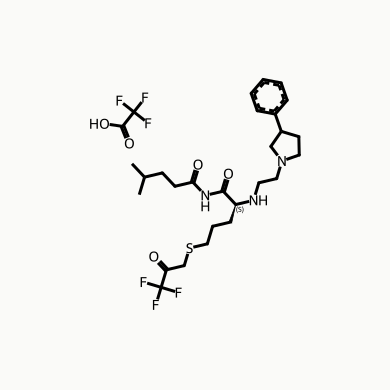 CC(C)CCC(=O)NC(=O)[C@H](CCCSCC(=O)C(F)(F)F)NCCN1CCC(c2ccccc2)C1.O=C(O)C(F)(F)F